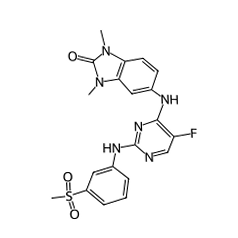 Cn1c(=O)n(C)c2cc(Nc3nc(Nc4cccc(S(C)(=O)=O)c4)ncc3F)ccc21